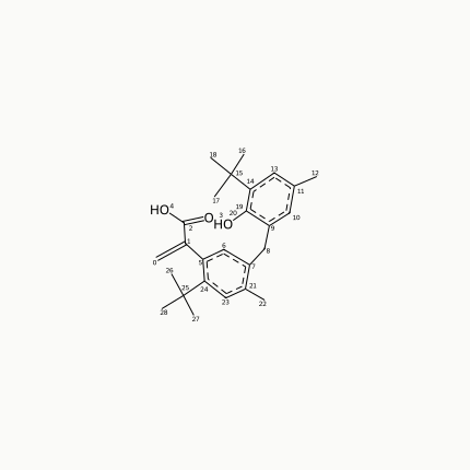 C=C(C(=O)O)c1cc(Cc2cc(C)cc(C(C)(C)C)c2O)c(C)cc1C(C)(C)C